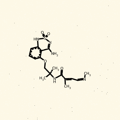 C/N=C\C=C(/C)C(=O)NC(C)(C)COc1cccc2c1C(N)=NS(=O)(=O)N2